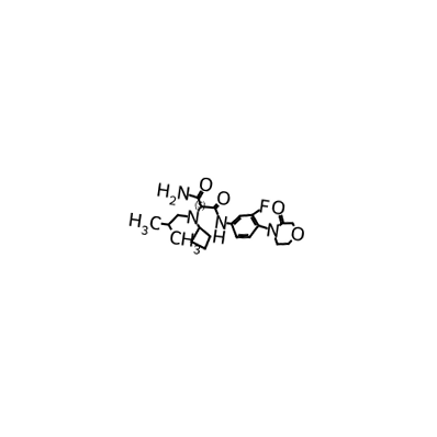 CC(C)CN(C1CCC1)[C@@H](C(N)=O)C(=O)Nc1ccc(N2CCOCC2=O)c(F)c1